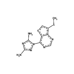 CSc1csc2c(-n3nc(N)nc3N)ncnc12